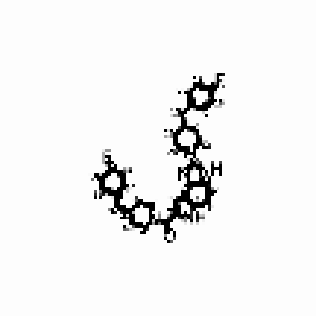 O=C(c1cc2c(ccc3[nH]c(N4CCC(Cc5ccc(F)cc5)CC4)nc32)[nH]1)N1CCC(Cc2ccc(F)cc2)CC1